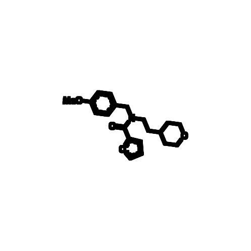 COc1ccc(CN(CCC2CCOCC2)C(=O)c2ccco2)cc1